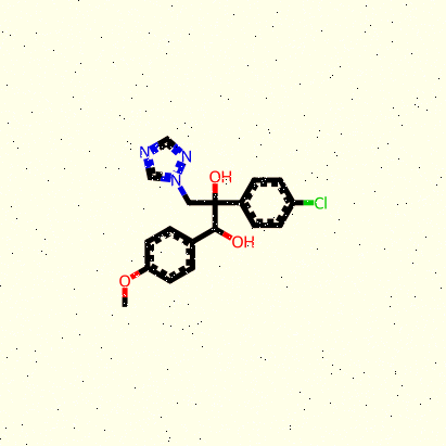 COc1ccc(C(O)C(O)(Cn2cncn2)c2ccc(Cl)cc2)cc1